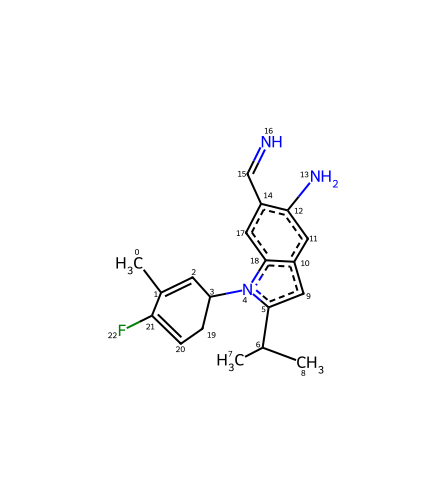 CC1=CC(n2c(C(C)C)cc3cc(N)c(C=N)cc32)CC=C1F